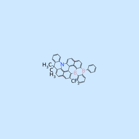 CC1(C)c2ccccc2N(c2ccccc2-c2cccc(C(F)(F)F)c2B2c3ccccc3B(c3ccccc3)c3ccccc32)c2ccccc21